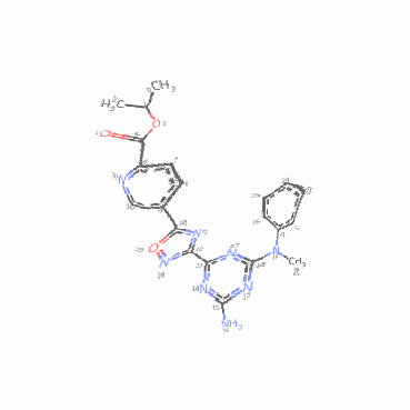 CC(C)OC(=O)c1ccc(-c2nc(-c3nc(N)nc(N(C)c4ccccc4)n3)no2)cn1